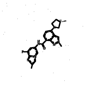 Cc1cn2cc(NC(=O)c3ccc(N4CC[C@H](C)C4)c4cn(C)nc34)cc(F)c2n1